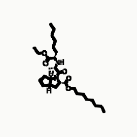 CCCCCCCCOC(=O)[C@@H]1C[C@@H]2CCC[C@@H]2N1C(=O)[C@H](C)N[C@@H](CCCCCC)C(=O)OCC